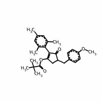 COc1ccc(CC2CC(OC(=O)C(C)(C)C)=C(c3c(C)cc(C)cc3C)C2=O)cc1